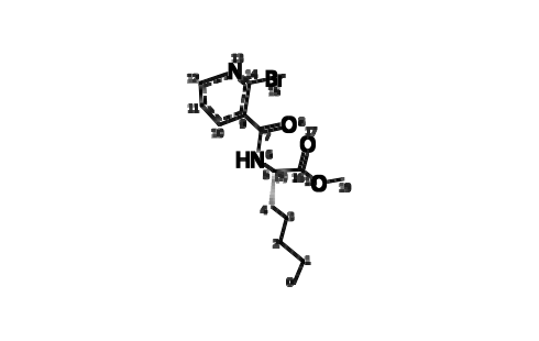 CCCCC[C@H](NC(=O)c1cccnc1Br)C(=O)OC